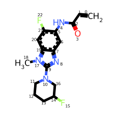 C=CC(=O)Nc1cc2nc(N3CCCC(F)C3)n(C)c2cc1F